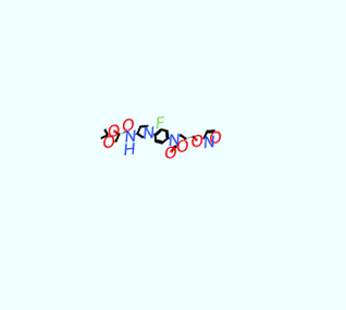 CC1(C)OC[C@@H](C(=O)N[C@H]2CCN(c3ccc(N4C[C@H](COc5ccon5)OC4=O)cc3F)C2)O1